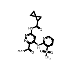 CNC(=O)c1nnc(NC(=O)C2CC23CC3)cc1Nc1ncccc1S(C)(=O)=O